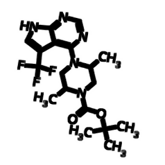 CC1CN(c2ncnc3[nH]cc(C(F)(F)F)c23)C(C)CN1C(=O)OC(C)(C)C